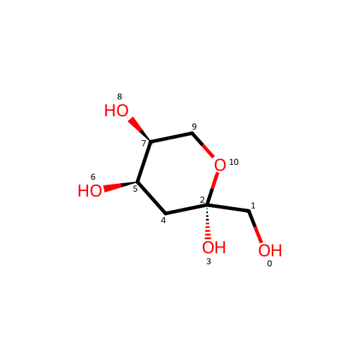 OC[C@@]1(O)C[C@@H](O)[C@@H](O)CO1